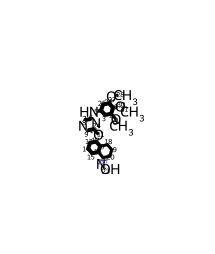 COc1cc(Nc2cncc(Oc3cccc4c3CCC/C4=N\O)n2)cc(OC)c1OC